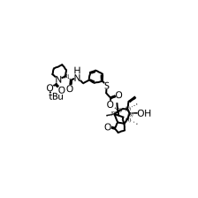 C=C[C@]1(C)C[C@@H](OC(=O)CSc2cccc(CNC(=O)[C@H]3CCCCN3C(=O)OC(C)(C)C)c2)[C@]2(C)C(C)CCC3(CCC(=O)C32)[C@@H](C)[C@@H]1O